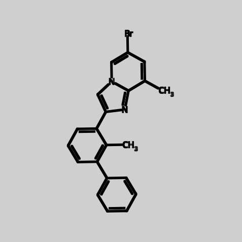 Cc1c(-c2ccccc2)cccc1-c1cn2cc(Br)cc(C)c2n1